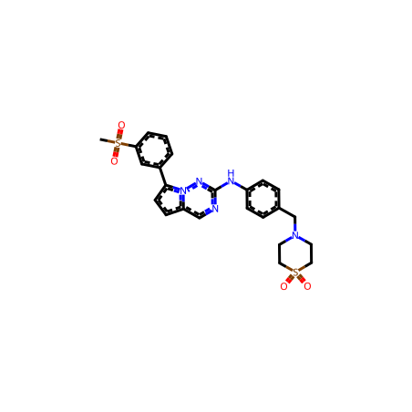 CS(=O)(=O)c1cccc(-c2ccc3cnc(Nc4ccc(CN5CCS(=O)(=O)CC5)cc4)nn23)c1